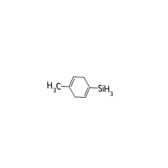 CC1=CCC([SiH3])=CC1